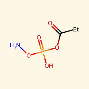 CCC(=O)OP(=O)(O)ON